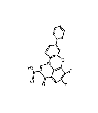 O=C(O)c1cn2c3c(c(F)c(F)cc3c1=O)Oc1cc(-c3ccccc3)ccc1-2